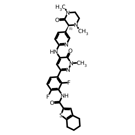 CN1CCN(C)[C@@H](c2ccc(Nc3cc(-c4ccc(F)c(NC(=O)c5cc6c(s5)CCCC6)c4F)nn(C)c3=O)nc2)C1=O